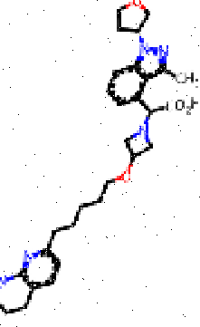 Cc1nn([C@H]2CCOC2)c2cccc(C(C(=O)O)N3CC(OCCCCCc4ccc5c(n4)NCCC5)C3)c12